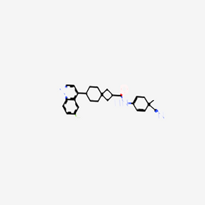 CC1(C#N)C=CC(NC(=O)C2CC3(CCC(c4ccnc5ccc(F)cc45)CC3)C2)=CC1